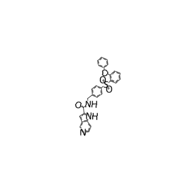 O=C(NCc1ccc(S(=O)(=O)c2ccccc2Oc2ccccc2)cc1)c1cc2cnccc2[nH]1